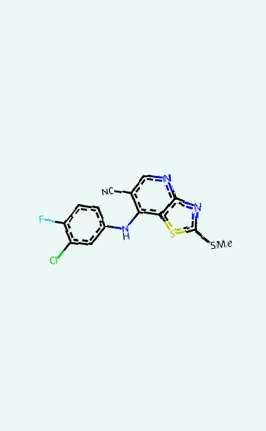 CSc1nc2ncc(C#N)c(Nc3ccc(F)c(Cl)c3)c2s1